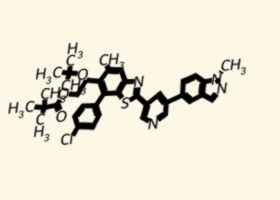 Cc1cc2nc(-c3cncc(-c4ccc5c(cnn5C)c4)c3)sc2c(-c2ccc(Cl)cc2)c1C(COC(=O)C(C)(C)C)OC(C)(C)C